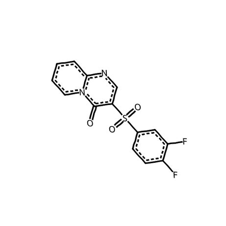 O=c1c(S(=O)(=O)c2ccc(F)c(F)c2)cnc2ccccn12